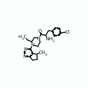 CCC1CN(C(=O)C(N)Cc2ccc(Cl)cc2)CCN1c1ncnc2c1C(C)CC2